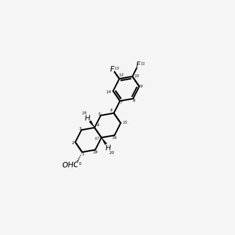 O=C[C@@H]1CC[C@@H]2CC(c3ccc(F)c(F)c3)CC[C@@H]2C1